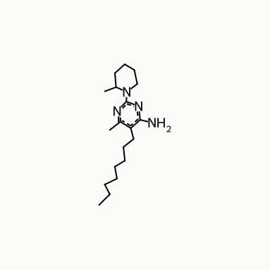 CCCCCCCCc1c(C)nc(N2CCCCC2C)nc1N